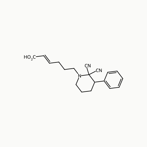 N#CC1(C#N)C(c2ccccc2)CCCN1CCC/C=C/C(=O)O